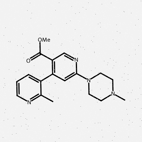 COC(=O)c1cnc(N2CCN(C)CC2)cc1-c1cccnc1C